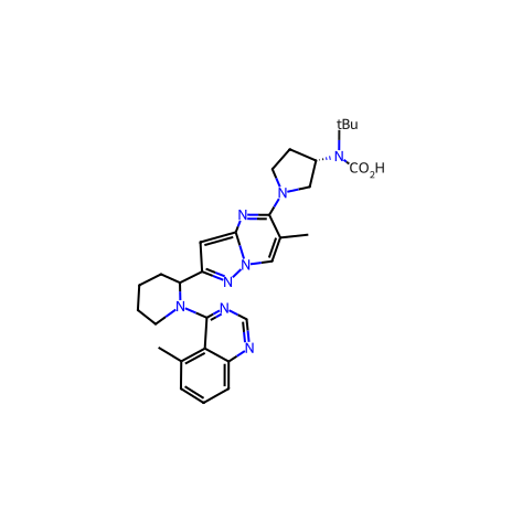 Cc1cn2nc(C3CCCCN3c3ncnc4cccc(C)c34)cc2nc1N1CC[C@H](N(C(=O)O)C(C)(C)C)C1